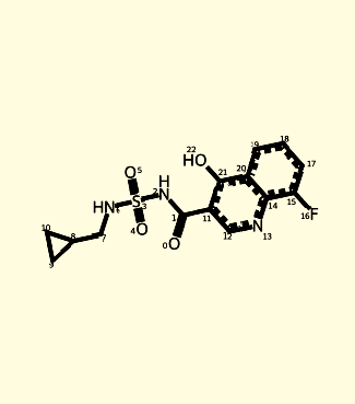 O=C(NS(=O)(=O)NCC1CC1)c1cnc2c(F)cccc2c1O